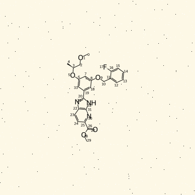 COC[C@H](C)Oc1cc(OCc2ccccc2F)cc(-c2nc3ccc(C(=O)OC)nc3[nH]2)c1